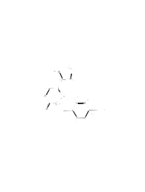 Cc1noc(C)c1-c1ccc(=O)n(Cc2c(F)cc(F)cc2F)n1